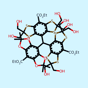 CCOC(=O)c1c2c(c([C](c3c4c(c(C(=O)OCC)c5c3SC(CO)(CO)S5)SC(CO)(CO)S4)c3c4c(c(C(=O)OCC)c5c3SC(CO)(CO)S5)SC(CO)(CO)S4)c3c1OC(C)(C)O3)OC(C)(C)O2